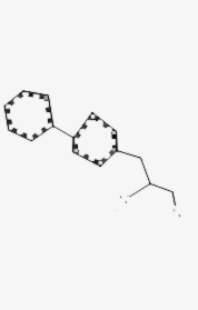 NC(CN=O)Cc1ccc(-c2ccccc2)cc1